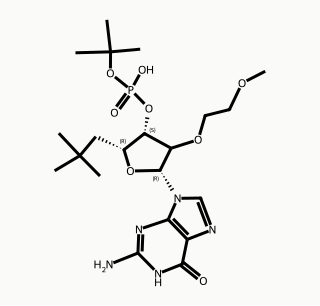 COCCOC1[C@@H](OP(=O)(O)OC(C)(C)C)[C@@H](CC(C)(C)C)O[C@H]1n1cnc2c(=O)[nH]c(N)nc21